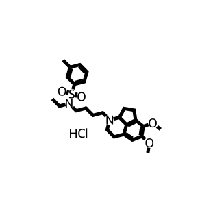 CCN(CCCCN1CCc2cc(OC)c(OC)c3c2C1CC3)S(=O)(=O)c1cccc(C)c1.Cl